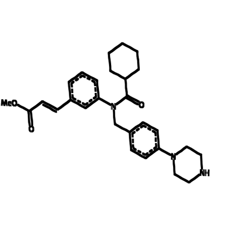 COC(=O)/C=C/c1cccc(N(Cc2ccc(N3CCNCC3)cc2)C(=O)C2CCCCC2)c1